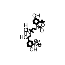 CC(C)(CCN1C(=O)OC(C)(C)c2cc(O)ccc21)NCC(O)c1ccc(O)c(NS(C)(=O)=O)c1.Cl